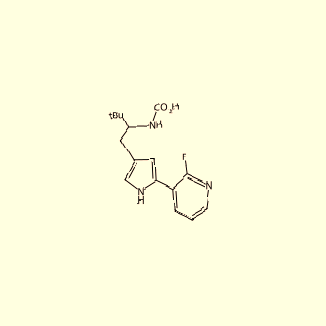 CC(C)(C)C(Cc1c[nH]c(-c2cccnc2F)c1)NC(=O)O